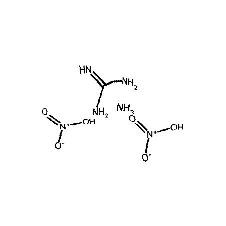 N.N=C(N)N.O=[N+]([O-])O.O=[N+]([O-])O